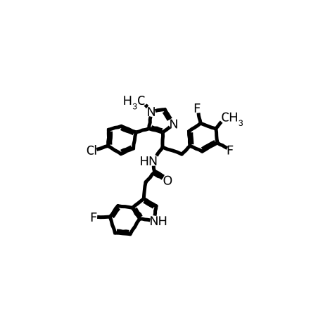 CC1C(F)=CC(CC(NC(=O)Cc2c[nH]c3ccc(F)cc23)c2ncn(C)c2-c2ccc(Cl)cc2)=CC1F